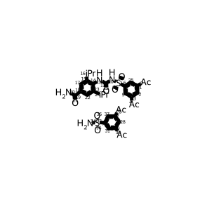 CC(=O)c1cc(C(C)=O)cc(S(=O)(=O)NC(=O)Nc2c(C(C)C)cc(C(N)=O)cc2C(C)C)c1.CC(=O)c1cc(C(C)=O)cc(S(N)(=O)=O)c1